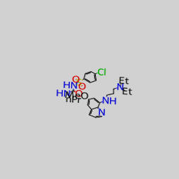 CCCNC(=O)NS(=O)(=O)c1ccc(Cl)cc1.CCN(CC)CCCNc1cc(OC)cc2cccnc12